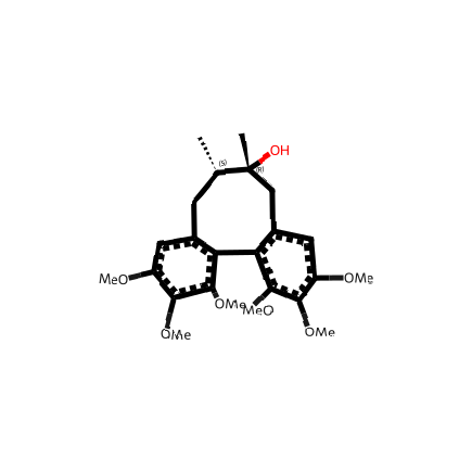 COc1cc2c(c(OC)c1OC)-c1c(cc(OC)c(OC)c1OC)C[C@@](C)(O)[C@@H](C)C2